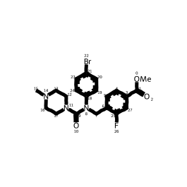 COC(=O)c1ccc(CN(C(=O)N2CCN(C)CC2)c2ccc(Br)cc2)c(F)c1